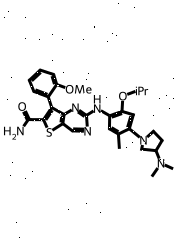 COc1ccccc1-c1c(C(N)=O)sc2cnc(Nc3cc(C)c(N4CCC(N(C)C)C4)cc3OC(C)C)nc12